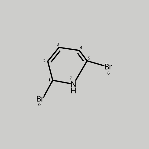 Br[C]1C=CC=C(Br)N1